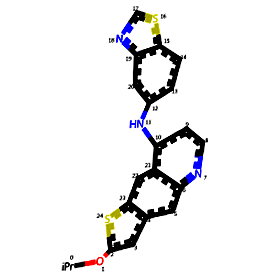 CC(C)Oc1cc2cc3nccc(Nc4ccc5scnc5c4)c3cc2s1